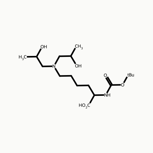 CC(O)CN(CCCCC(NC(=O)OC(C)(C)C)C(=O)O)CC(C)O